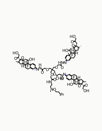 CC(C)CCON(C)CCNC(=O)COCC(COCC(=O)N/N=C1\C=C[C@@]2(C)C(=C1)CC[C@H]1[C@@H]3C[C@@H](C)[C@@]4(C(=O)CO)O[C@]34C[C@H](O)[C@@]12F)(COCC(=O)N/N=C1\C=C[C@@]2(C)C(=C1)CC[C@H]1[C@@H]3C[C@@H](C)[C@@]4(CC(=O)CO)O[C@]34C[C@H](O)[C@@]12F)COC(C=O)CN/N=C1\C=C[C@@]2(C)C(=C1)CC[C@H]1[C@@H]3C[C@@H](C)[C@@]4(C(=O)CO)O[C@]34C[C@H](O)[C@@]12F